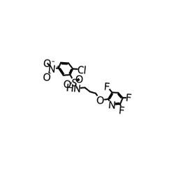 O=[N+]([O-])c1ccc(Cl)c(S(=O)(=O)NCCCOc2nc(F)c(F)cc2F)c1